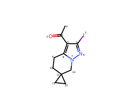 CC(=O)c1c(I)nn2c1CCC1(CC1)C2